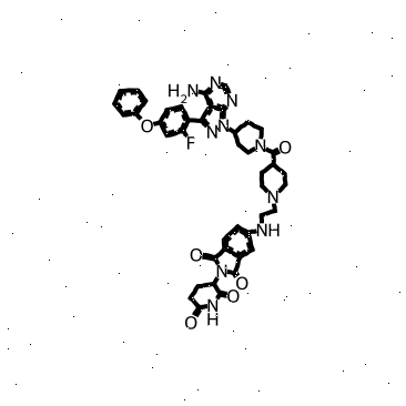 Nc1ncnc2c1c(-c1ccc(Oc3ccccc3)cc1F)nn2C1CCN(C(=O)C2CCN(CCNc3ccc4c(c3)C(=O)N(C3CCC(=O)NC3=O)C4=O)CC2)CC1